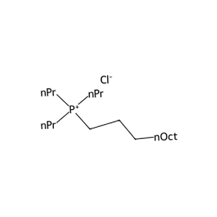 CCCCCCCCCCC[P+](CCC)(CCC)CCC.[Cl-]